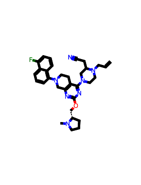 C=CCN1CCN(c2nc(OC[C@@H]3CCCN3C)nc3c2CCN(c2cccc4c(F)cccc24)C3)CC1CC#N